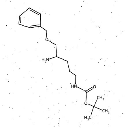 CC(C)(C)OC(=O)NCCCC(N)COCc1ccccc1